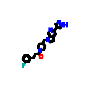 O=C(CCc1cccc(F)c1)N1CCC(Cn2ccc3cc(-c4cn[nH]c4)ncc32)CC1